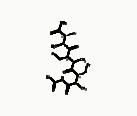 CCC(=O)NC(=O)N(C)[C@@H](CC(C)C)C(=O)N(C)[C@@H](CC(C)C)C(=O)N(C)[C@H](C(=O)NC)C(C)C